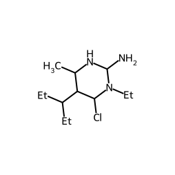 CCC(CC)C1C(C)NC(N)N(CC)C1Cl